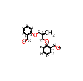 C=C(COc1ccccc1C=O)COc1ccccc1C=O